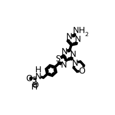 Nc1ncc(-c2nc(N3CCOCC3)c3nc(-c4ccc(CN[SH](=O)=O)cc4)sc3n2)cn1